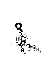 COC(=O)CNC(=O)[C@@H](NC(=O)OCc1ccccc1)C(C)C